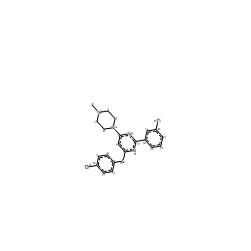 CN1CCN(c2cc(Sc3ccc(Cl)cc3)nc(-c3cccc(Cl)c3)n2)CC1